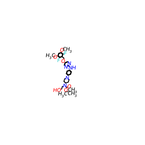 COc1cc(OC)c(F)c(COc2cnc(Nc3ccc(N4CCC(N(CCO)C(=O)OC(C)(C)C)CC4)cc3)nc2)c1F